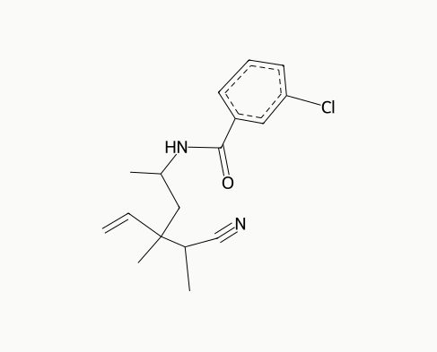 C=CC(C)(CC(C)NC(=O)c1cccc(Cl)c1)C(C)C#N